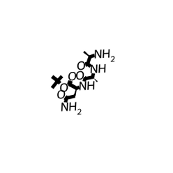 C[C@@H](N)C(=O)N[C@H](C)C(=O)N[C@@H](CC(N)=O)C(=O)OC(C)(C)C